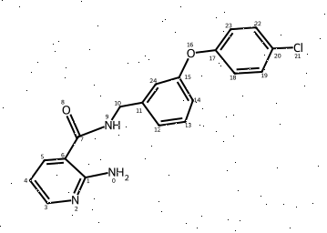 Nc1ncccc1C(=O)NCc1cccc(Oc2ccc(Cl)cc2)c1